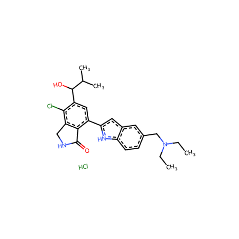 CCN(CC)Cc1ccc2[nH]c(-c3cc(C(O)C(C)C)c(Cl)c4c3C(=O)NC4)cc2c1.Cl